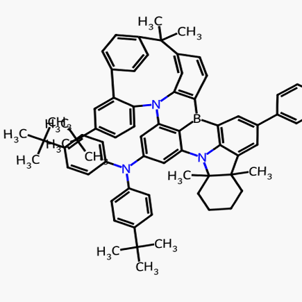 CC(C)(C)c1ccc(N(c2ccc(C(C)(C)C)cc2)c2cc3c4c(c2)N2c5c(cc(-c6ccccc6)cc5C5(C)CCCCC25C)B4c2ccc4cc2N3c2ccc(C(C)(C)C)cc2-c2ccc(cc2)C4(C)C)cc1